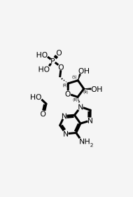 Nc1ncnc2c1ncn2[C@@H]1O[C@H](COP(=O)(O)O)[C@@H](O)[C@H]1O.O=CO